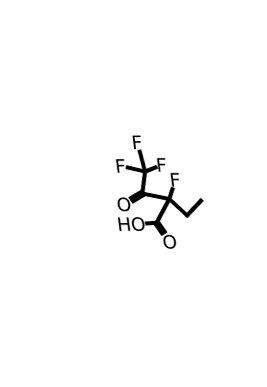 CCC(F)(C(=O)O)C(=O)C(F)(F)F